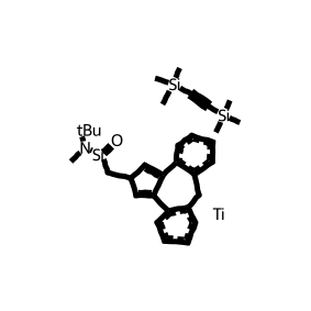 CN([Si](=O)CC1C=C2C(=C1)c1ccccc1Cc1ccccc12)C(C)(C)C.C[Si](C)(C)C#C[Si](C)(C)C.[Ti]